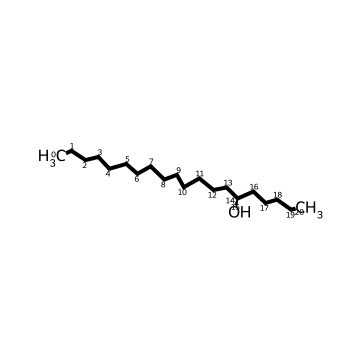 CCCCCCCCCCCCCC[C@H](O)CCCCC